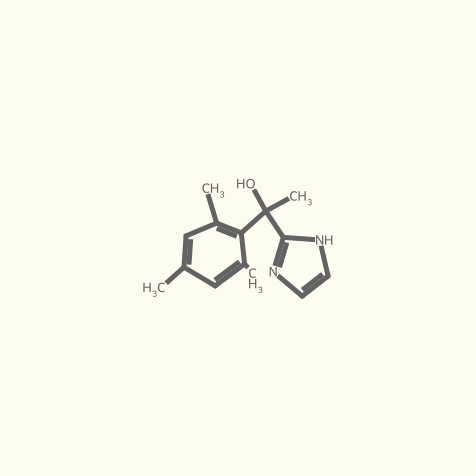 Cc1cc(C)c(C(C)(O)c2ncc[nH]2)c(C)c1